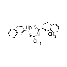 C=C1N=C(C2=CC3(C)CCC=CC3CC2)SNC(C2=CC3=C(C=CCC3)CC2)S1